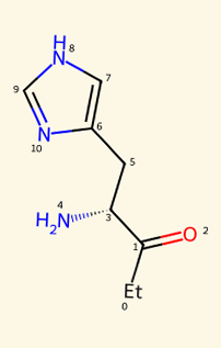 CCC(=O)[C@H](N)Cc1c[nH]cn1